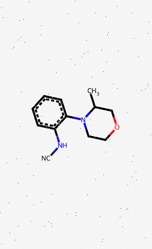 CC1COCCN1c1ccccc1NC#N